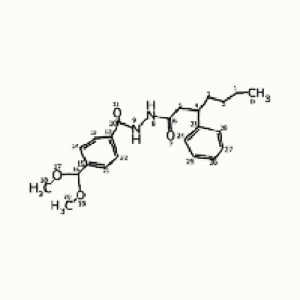 CCCCC(CC(=O)NNC(=O)c1ccc(C(OC)OC)cc1)c1ccccc1